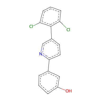 Oc1cccc(-c2ccc(-c3c(Cl)cccc3Cl)cn2)c1